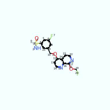 C[S@](=N)(=O)c1cc(F)cc(COc2ccnc3c(OCF)nccc23)c1